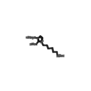 CCCCCCCCCCCCCCCC[n+]1ccn(CCCCCCC)c1CCCCCC